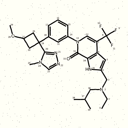 CCN(Cc1cc2c(C(F)(F)F)cn(-c3cccc(C4(c5nncn5C)CC(OC)C4)c3)c(=O)c2[nH]1)CC(C)C